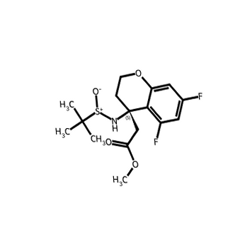 COC(=O)C[C@@]1(N[S+]([O-])C(C)(C)C)CCOc2cc(F)cc(F)c21